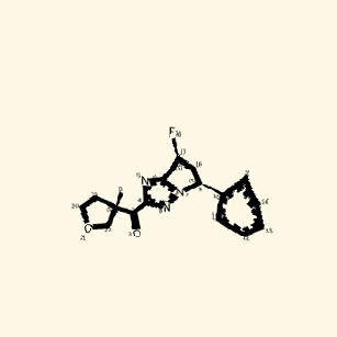 C[C@]1(C(=O)c2nc3n(n2)[C@H](c2ccccc2)C[C@@H]3F)CCOC1